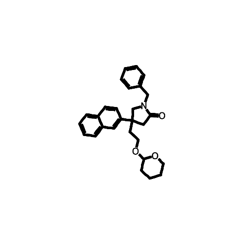 O=C1CC(CCOC2CCCCO2)(c2ccc3ccccc3c2)CN1Cc1ccccc1